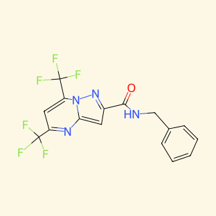 O=C(NCc1ccccc1)c1cc2nc(C(F)(F)F)cc(C(F)(F)F)n2n1